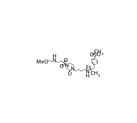 CCC(C)(Cc1ccc(S(C)(=O)=O)cc1)NCCCCN1CCN(S(=O)(=O)CCNCCOC)CC1=O